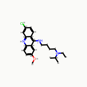 CCN(CCCCNc1c2ccc(Cl)cc2nc2ccc(OC)cc12)C(C)C